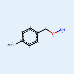 COc1ccc(CON)cc1